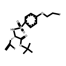 C=C(F)C[C@H](NS(=O)(=O)c1ccc(OCCF)cc1)C(=O)OC(C)(C)C